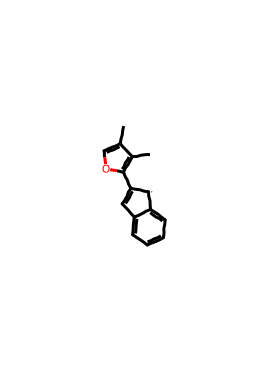 Cc1coc(C2=Cc3ccccc3[CH]2)c1C